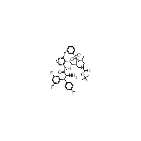 CC1CN(C(=O)OC(C)(C)C)CC(CCc2c(F)cncc2NC(=O)C(N)C(c2ccc(F)cc2)c2cc(F)cc(F)c2)N1S(=O)(=O)c1ccccc1